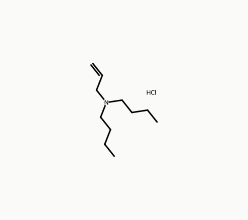 C=CCN(CCCC)CCCC.Cl